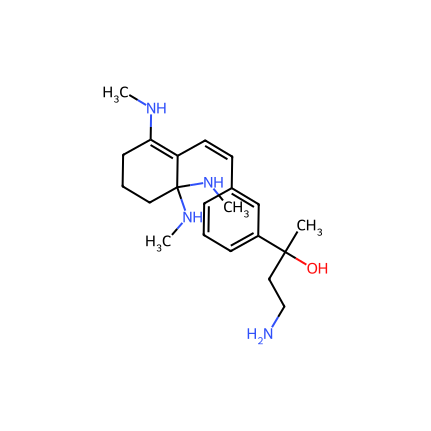 CNC1=C(/C=C\c2cccc(C(C)(O)CCN)c2)C(NC)(NC)CCC1